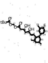 Cc1cc(C)c(C=C[C@@H](O)C[C@@H](O)CC(=O)OCOC(=O)C(C)(C)C)c(-c2ccc(F)c(C)c2)c1